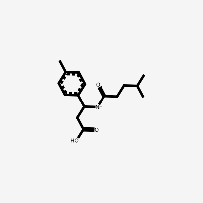 Cc1ccc(C(CC(=O)O)NC(=O)CCC(C)C)cc1